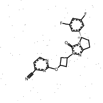 N#Cc1ccnc(OC2CC(n3nc4n(c3=O)[C@H](c3cc(F)cc(F)c3)CC4)C2)n1